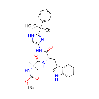 CCC(C(=O)O)(c1ccccc1)c1nc(NC(=O)[C@@H](Cc2c[nH]c3ccccc23)NC(=O)C(C)(C)NC(=O)OC(C)(C)C)c[nH]1